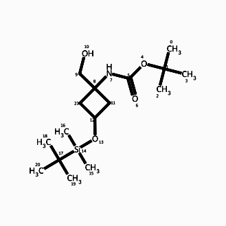 CC(C)(C)OC(=O)NC1(CO)CC(O[Si](C)(C)C(C)(C)C)C1